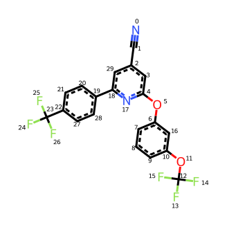 N#Cc1cc(Oc2cccc(OC(F)(F)F)c2)nc(-c2ccc(C(F)(F)F)cc2)c1